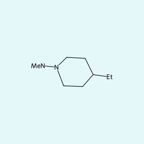 CCC1CCN(NC)CC1